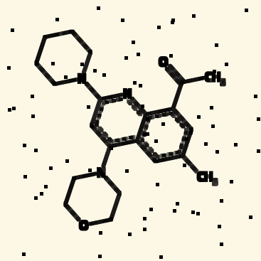 CC(=O)c1cc(C)cc2c(N3CCOCC3)cc(N3CCCCC3)nc12